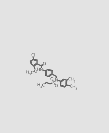 CCCS(=O)(=O)N(Cc1ccc(NC(=O)c2cc(Cl)ccc2OC)cc1)c1ccc(C)c(C)c1